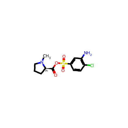 CN1CCC[C@@H]1C(=O)OS(=O)(=O)c1ccc(Cl)c(N)c1